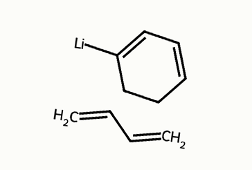 C=CC=C.[Li][C]1=CC=CCC1